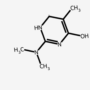 CC1=C(O)N=C(N(C)C)N[CH]1